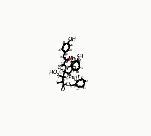 CCCCCC(C)(C(C)C(=O)OCc1ccccc1)C(Cc1ccccc1)(C(=O)O)N(C(=O)C(N)CS)C(=O)C(N)Cc1ccc(O)cc1